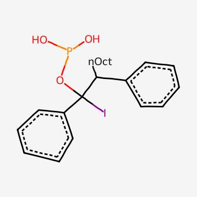 CCCCCCCCC(c1ccccc1)C(I)(OP(O)O)c1ccccc1